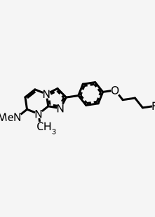 CNC1C=Cn2cc(-c3ccc(OCCCF)cc3)nc2N1C